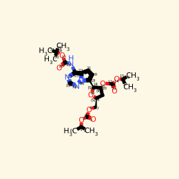 CC(C)OC(=O)OC[C@@H]1C[C@@H](OC(=O)OC(C)C)[C@H](c2ccc3c(NC(=O)OC(C)(C)C)ncnn23)O1